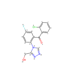 O=C(c1ccccc1Cl)c1cc(F)ccc1-n1cnnc1CO